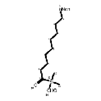 CCCCCCCCCCCCCCCCCC(=O)[Si](C)(C)C=O